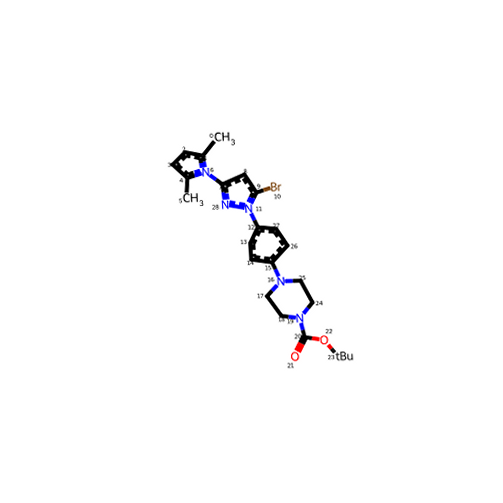 Cc1ccc(C)n1-c1cc(Br)n(-c2ccc(N3CCN(C(=O)OC(C)(C)C)CC3)cc2)n1